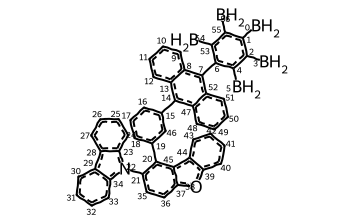 Bc1c(B)c(B)c(-c2c3ccccc3c(-c3cccc(-c4c(-n5c6ccccc6c6ccccc65)ccc5oc6ccccc6c45)c3)c3ccccc23)c(B)c1B